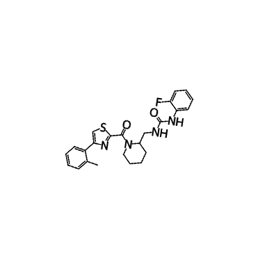 Cc1ccccc1-c1csc(C(=O)N2CCCCC2CNC(=O)Nc2ccccc2F)n1